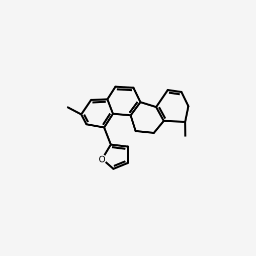 Cc1cc(-c2ccco2)c2c3c(ccc2c1)C1=C(CC3)C(C)CC=C1